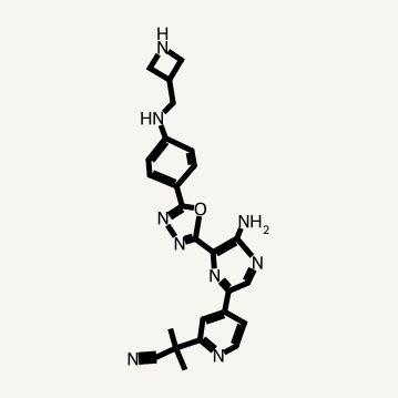 CC(C)(C#N)c1cc(-c2cnc(N)c(-c3nnc(-c4ccc(NCC5CNC5)cc4)o3)n2)ccn1